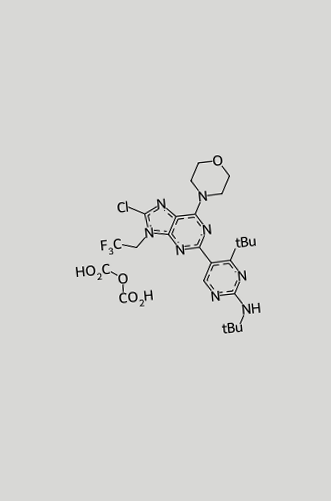 CC(C)(C)Nc1ncc(-c2nc(N3CCOCC3)c3nc(Cl)n(CC(F)(F)F)c3n2)c(C(C)(C)C)n1.O=C(O)OC(=O)O